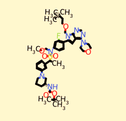 COCN(c1ccc(-c2cc3c(N4CCOCC4)ncnc3n2COCC[Si](C)(C)C)c(F)c1)S(=O)(=O)C(C)c1cccc(N2CCC[C@@H](NC(=O)OC(C)(C)C)C2)c1